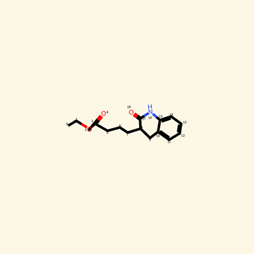 CCOC(=O)CCCC1Cc2ccccc2NC1=O